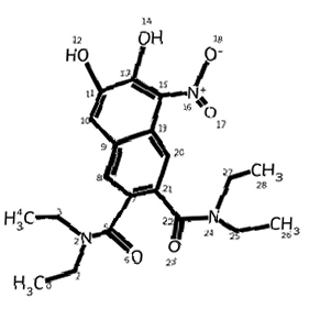 CCN(CC)C(=O)c1cc2cc(O)c(O)c([N+](=O)[O-])c2cc1C(=O)N(CC)CC